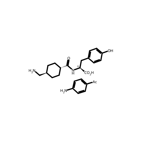 CC(=O)c1ccc(N)cc1.NC[C@H]1CC[C@H](C(=O)N[C@@H](Cc2ccc(O)cc2)C(=O)O)CC1